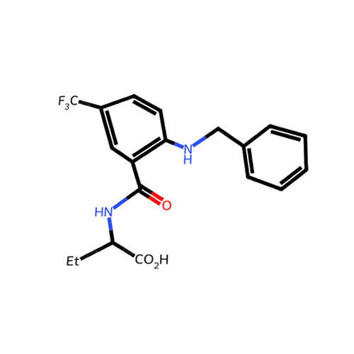 CCC(NC(=O)c1cc(C(F)(F)F)ccc1NCc1ccccc1)C(=O)O